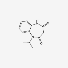 CC(C)N1C(=O)CC(=O)Nc2ccccc21